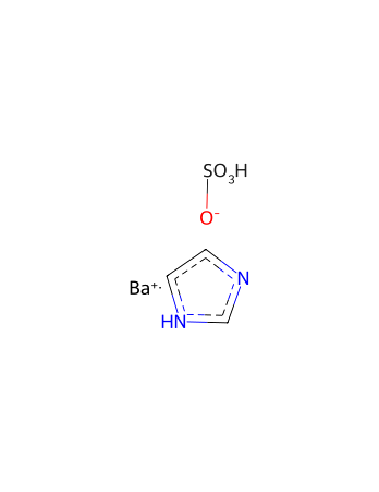 O=S(=O)([O-])O.[Ba+].c1c[nH]cn1